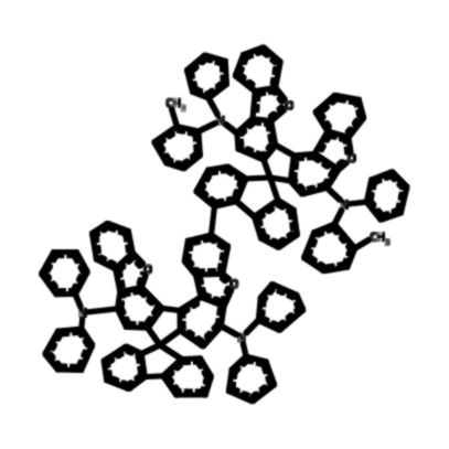 Cc1ccccc1N(c1ccccc1)c1cc2c(c3c1oc1ccccc13)-c1c(cc(N(c3ccccc3)c3ccccc3C)c3c1oc1ccccc13)C21c2ccccc2-c2c(-c3ccc4c(c3)oc3c(N(c5ccccc5)c5ccccc5)cc5c(c34)-c3c(cc(N(c4ccccc4)c4ccccc4)c4c3oc3ccccc34)C53c4ccccc4-c4ccccc43)cccc21